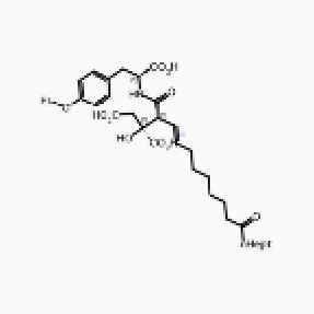 CCCCCCCC(=O)CCCCCC/C=C/[C@H](C(=O)N[C@@H](Cc1ccc(OCC)cc1)C(=O)O)[C@@](O)(CC(=O)O)C(=O)O